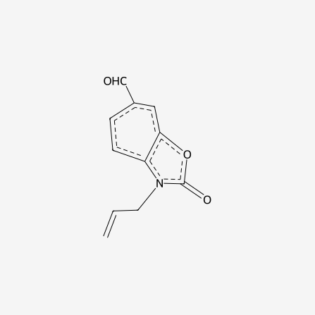 C=CCn1c(=O)oc2cc(C=O)ccc21